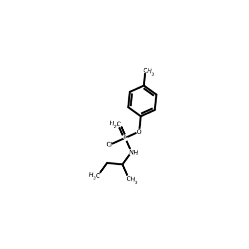 C=P(Cl)(NC(C)CC)Oc1ccc(C)cc1